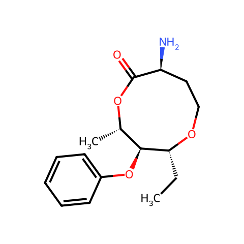 CC[C@H]1OCC[C@H](N)C(=O)O[C@@H](C)[C@@H]1Oc1ccccc1